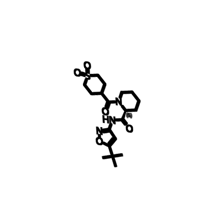 CC(C)(C)c1cc(NC(=O)[C@@H]2CCCCN2C(=O)C2CCS(=O)(=O)CC2)no1